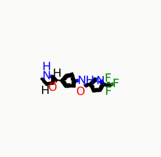 O=C(Nc1ccc([C@H]2O[C@@H]3CN[C@H]2C3)cc1)c1ccc(C(F)(F)F)nc1